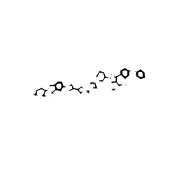 NC1=NC=NC2C1C(c1ccc(Oc3ccccc3)cc1)=NN2C1CCCN(C2CN(C(=O)N3CC(C4CN(c5ccc6c(c5)C(=O)N(C5CCC(=O)NC5=O)C6=O)C4)C3)C2)C1